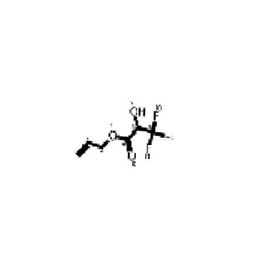 C=CCOC(=O)C(O)C(F)(F)F